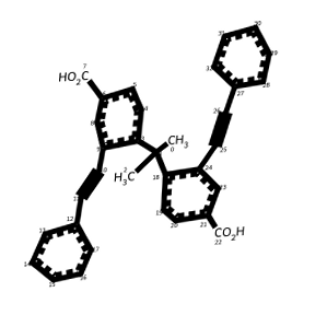 CC(C)(c1ccc(C(=O)O)cc1C#Cc1ccccc1)c1ccc(C(=O)O)cc1C#Cc1ccccc1